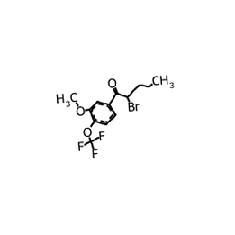 CCCC(Br)C(=O)c1ccc(OC(F)(F)F)c(OC)c1